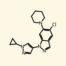 Clc1cc2cnn(-c3cnn(C4CC4)c3)c2cc1N1CCCCC1